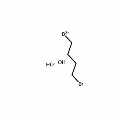 [B+2]CCCCBr.[OH-].[OH-]